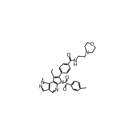 CCc1c(-c2ccc(C(=O)NCCN3CCOCC3)cc2)n(S(=O)(=O)c2ccc(C)cc2)c2ncc3cnn(C)c3c12